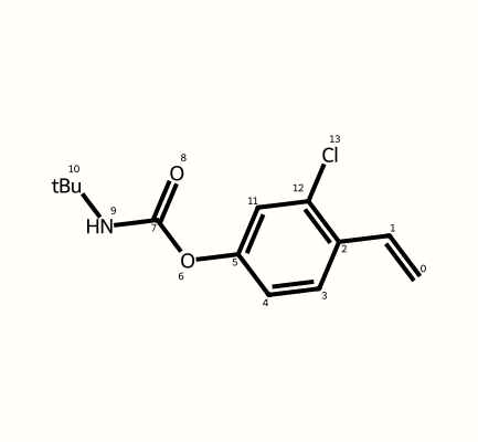 C=Cc1ccc(OC(=O)NC(C)(C)C)cc1Cl